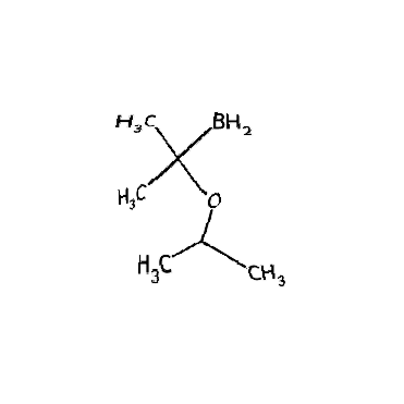 BC(C)(C)OC(C)C